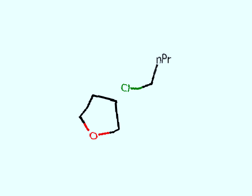 C1CCOC1.CCCCCl